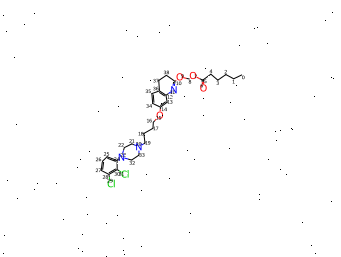 CCCCCC(=O)OCOC1=Nc2cc(OCCCCN3CCN(c4cccc(Cl)c4Cl)CC3)ccc2CC1